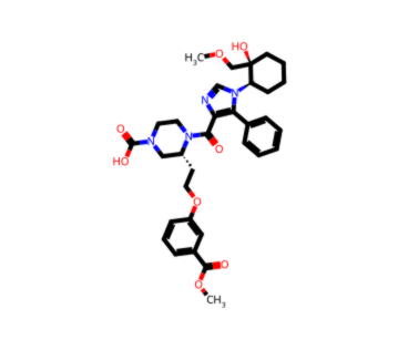 COC[C@]1(O)CCCC[C@H]1n1cnc(C(=O)N2CCN(C(=O)O)C[C@H]2CCOc2cccc(C(=O)OC)c2)c1-c1ccccc1